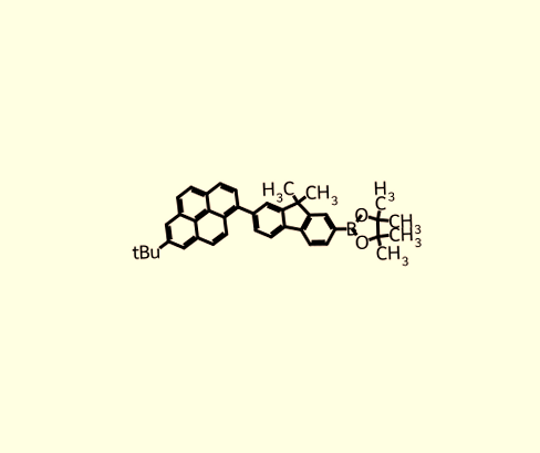 CC(C)(C)c1cc2ccc3ccc(-c4ccc5c(c4)C(C)(C)c4cc(B6OC(C)(C)C(C)(C)O6)ccc4-5)c4ccc(c1)c2c34